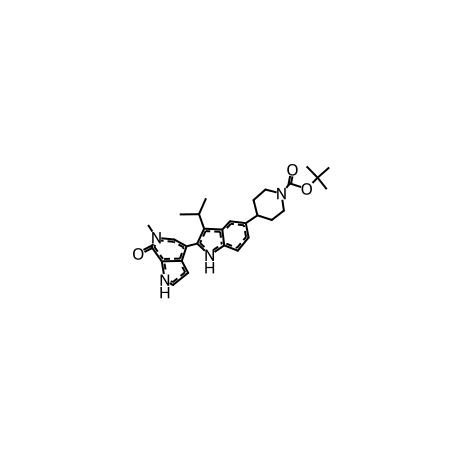 CC(C)c1c(-c2cn(C)c(=O)c3[nH]ccc23)[nH]c2ccc(C3CCN(C(=O)OC(C)(C)C)CC3)cc12